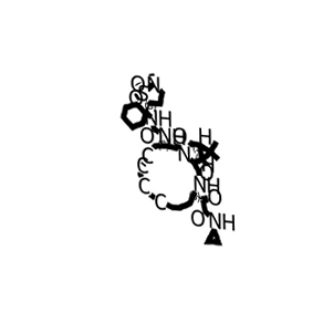 CN1CC[C@@H](C2(NC(=O)N[C@H]3CCCCCCCCCC[C@@H](C(=O)C(=O)NC4CC4)NC(=O)C4[C@@H]5[C@H](CN4C3=O)C5(C)C)CCCCC2)S1(=O)=O